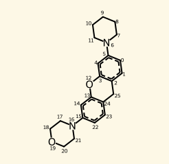 c1cc2c(cc1N1CCCCC1)Oc1cc(N3CCOCC3)ccc1C2